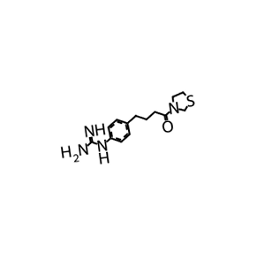 N=C(N)Nc1ccc(CCCC(=O)N2CCSC2)cc1